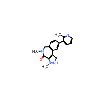 Cc1ncccc1-c1ccc2c(c1)C1=C(C(=O)N(C)C2)N(C)NC1